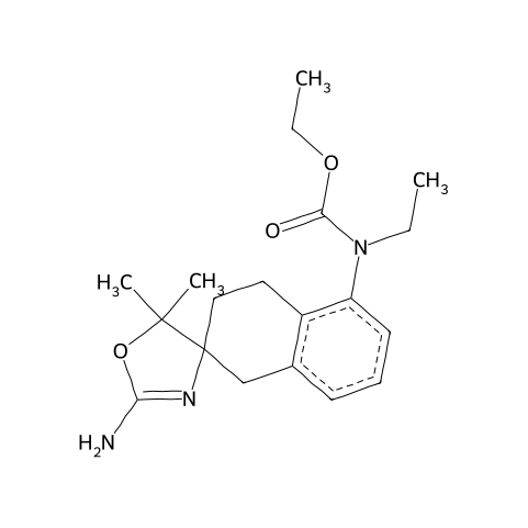 CCOC(=O)N(CC)c1cccc2c1CCC1(C2)N=C(N)OC1(C)C